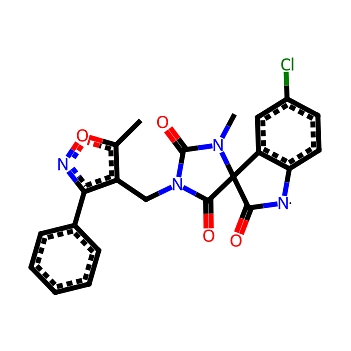 Cc1onc(-c2ccccc2)c1CN1C(=O)N(C)C2(C(=O)[N]c3ccc(Cl)cc32)C1=O